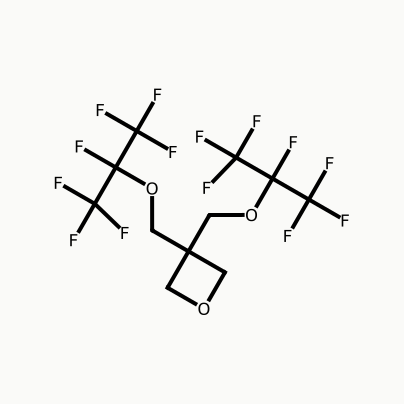 FC(F)(F)C(F)(OCC1(COC(F)(C(F)(F)F)C(F)(F)F)COC1)C(F)(F)F